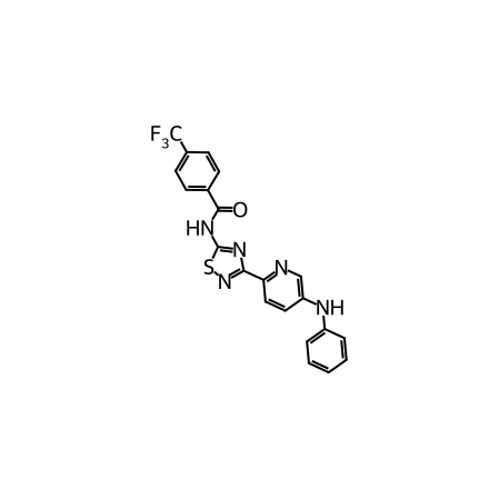 O=C(Nc1nc(-c2ccc(Nc3ccccc3)cn2)ns1)c1ccc(C(F)(F)F)cc1